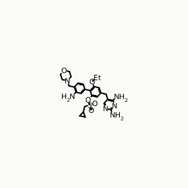 CCOc1cc(Cc2cnc(N)nc2N)cc(OS(=O)(=O)CC2CC2)c1-c1ccc(CN2CCOCC2)c(N)c1